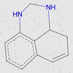 C1=Cc2cccc3c2C(C1)NCN3